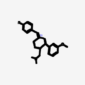 COc1cccc(C2=C/C(=C/c3ccc(F)cc3)CCC2CN(C)C)c1